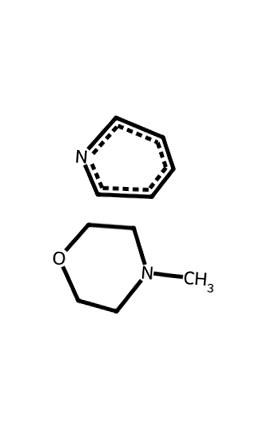 CN1CCOCC1.c1ccncc1